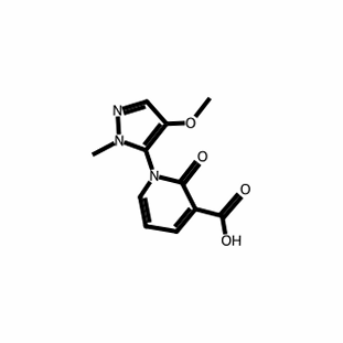 COc1cnn(C)c1-n1cccc(C(=O)O)c1=O